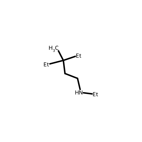 CCNCCC(C)(CC)CC